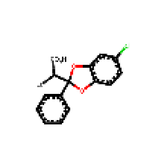 CCC(C(=O)O)C1(c2ccccc2)Oc2ccc(Cl)cc2O1